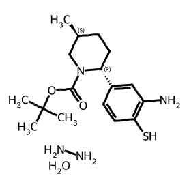 C[C@H]1CC[C@H](c2ccc(S)c(N)c2)N(C(=O)OC(C)(C)C)C1.NN.O